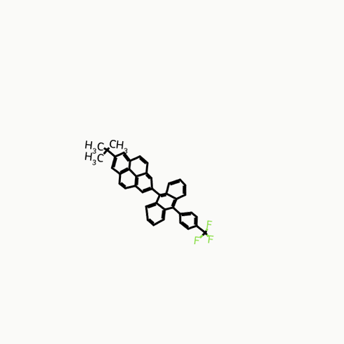 CC(C)(C)c1cc2ccc3cc(-c4c5ccccc5c(-c5ccc(C(F)(F)F)cc5)c5ccccc45)cc4ccc(c1)c2c34